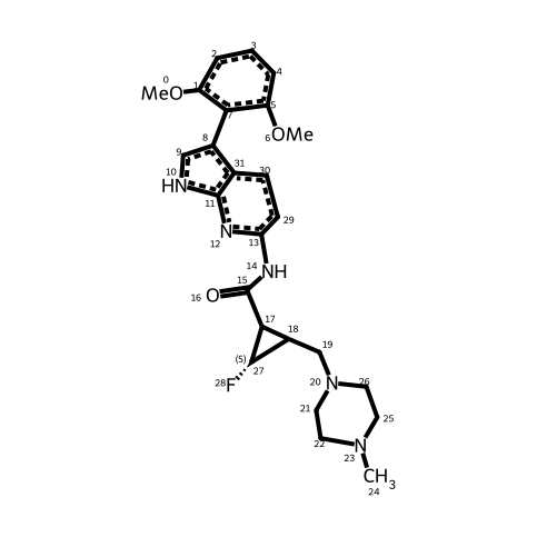 COc1cccc(OC)c1-c1c[nH]c2nc(NC(=O)C3C(CN4CCN(C)CC4)[C@@H]3F)ccc12